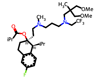 COCC(C)(COC)CN(CCCN(C)CC[C@@]1(OC(=O)C(C)C)CCc2cc(F)ccc2[C@@H]1C(C)C)CC(F)(F)F